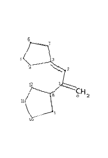 C=C(C=C1[CH]CCC1)C1CCCC1